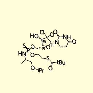 CC(COC(C)C)NP(=S)(OCCSC(=O)C(C)(C)C)OC[C@H]1O[C@@H](n2ccc(=O)[nH]c2=O)C(Cl)(Cl)[C@@H]1O